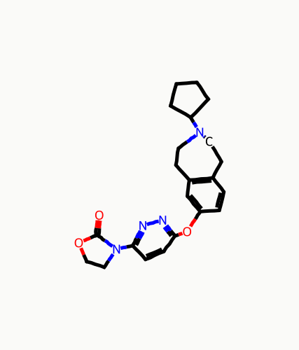 O=C1OCCN1c1ccc(Oc2ccc3c(c2)CCN(C2CCCC2)CC3)nn1